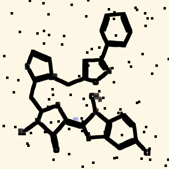 CCN1C(=O)/C(=C2\Sc3cc(Cl)ccc3N2C)SC1Cc1scc[n+]1Cc1cc(-c2ccccc2)no1